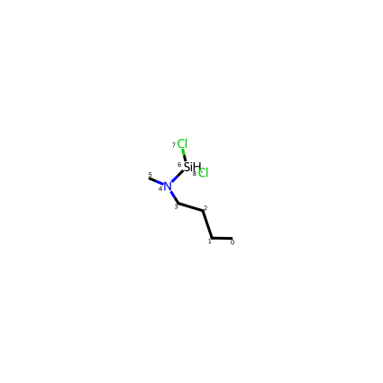 CCCCN(C)[SiH](Cl)Cl